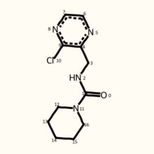 O=C(NCc1nccnc1Cl)N1CCCCC1